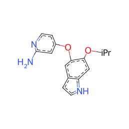 CC(C)Oc1cc2[nH]ccc2cc1Oc1ccnc(N)c1